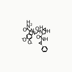 COc1cc2c(C(N)=O)nn(CC(=O)N3[C@@H]4C[C@@H]4C[C@H]3C(=O)N[C@@H]3C[C@H]3c3ccccc3)c2cc1OC